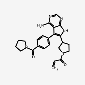 C=CC(=O)N1CCC(c2[nH]c3ncnc(N)c3c2-c2ccc(C(=O)N3CCCC3)cc2)C1